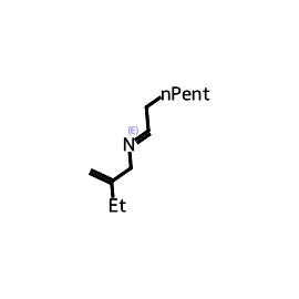 C=C(CC)C/N=C/CCCCCC